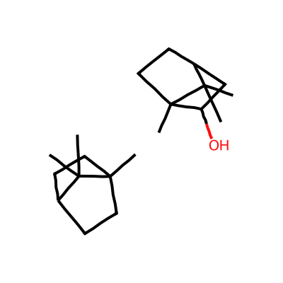 CC1(C)C2CCC1(C)C(O)C2.CC12CCC(CC1)C2(C)C